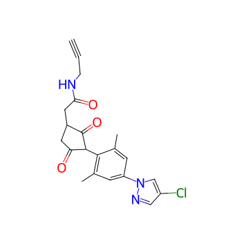 C#CCNC(=O)CC1CC(=O)C(c2c(C)cc(-n3cc(Cl)cn3)cc2C)C1=O